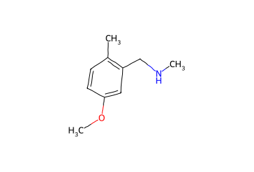 CNCc1cc(OC)ccc1C